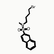 CN(CCCCBr)S(=O)(=O)c1ccc2ccccc2c1